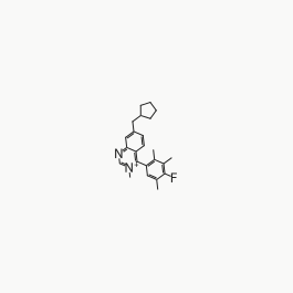 Cc1cc(-c2c3ccc(CC4CCCC4)cc3nc[n+]2C)c(C)c(C)c1F